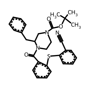 CC(C)(C)OC(=O)N1CCN(C(=O)c2ccccc2Sc2ccccc2C#N)C(Cc2ccccc2)C1